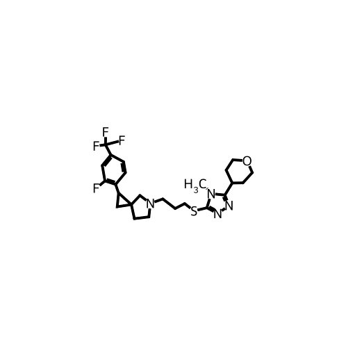 Cn1c(SCCCN2CCC3(CC3c3ccc(C(F)(F)F)cc3F)C2)nnc1C1CCOCC1